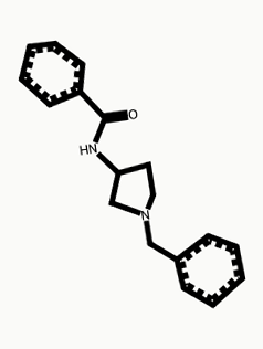 O=C(NC1CCN(Cc2ccccc2)C1)c1ccccc1